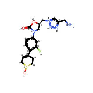 NCc1cn(C[C@H]2CN(c3ccc(C4=CC[S+]([O-])CC4)c(F)c3)C(=O)O2)nn1